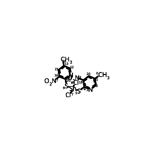 Cc1cnc([S][Sn]([Cl])([Cl])[S]c2ncc(C)cc2[N+](=O)[O-])c([N+](=O)[O-])c1